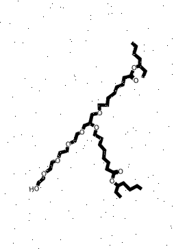 CCCCC(CC)OC(=O)CCCCCCCOCC(COCCOCCOCCOCCO)OCCCCCCCC(=O)OC(CC)CCCC